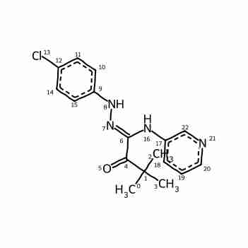 CC(C)(C)C(=O)/C(=N/Nc1ccc(Cl)cc1)Nc1cccnc1